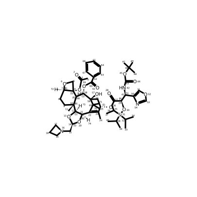 CC(=O)O[C@@]12CO[C@@H]1CC[C@@]1(C)[C@@H]3O[C@H](CN4CCC4)O[C@@H]3C3=C(C)[C@@H](OC(=O)[C@H](O[Si](C(C)C)(C(C)C)C(C)C)[C@@H](NC(=O)OC(C)(C)C)c4cocn4)C[C@@](O)([C@@H](OC(=O)c4ccccc4)[C@@H]12)C3(C)C